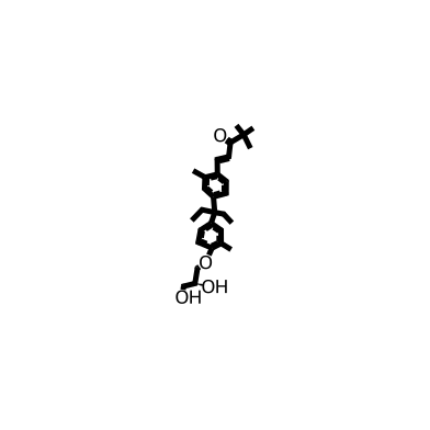 CCC(CC)(c1ccc(C=CC(=O)C(C)(C)C)c(C)c1)c1ccc(OC[C@H](O)CO)c(C)c1